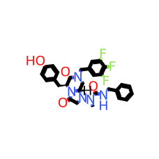 CN(C(=O)NCc1ccccc1)N1CC(=O)N2[C@@H](Cc3ccc(O)cc3)C(=O)N(Cc3cc(F)c(F)c(F)c3)C[C@@H]21